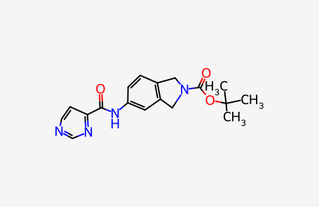 CC(C)(C)OC(=O)N1Cc2ccc(NC(=O)c3ccncn3)cc2C1